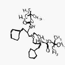 CCN(CC(CC1CCCCC1)NC(=O)OC(C)(C)C)CC(CC1CCCCC1)NC(=O)OC(C)(C)C